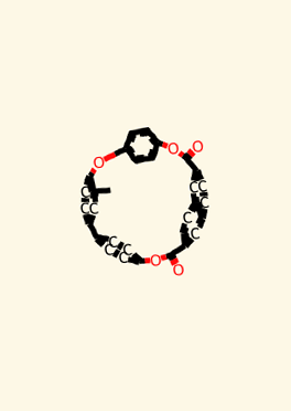 Cc1cc2ccc1Oc1ccc(cc1)OC(=O)c1ccc3cc(ccc3c1)C(=O)Oc1ccc-2cc1